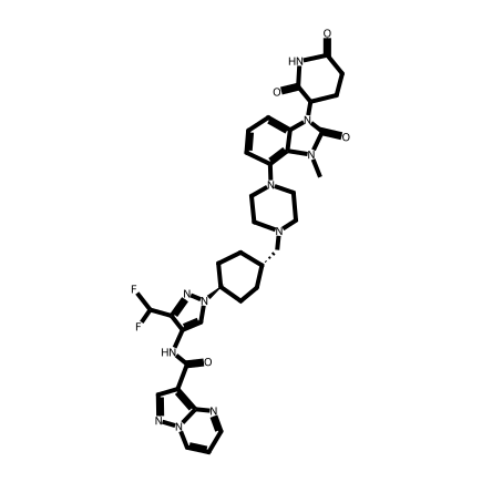 Cn1c(=O)n(C2CCC(=O)NC2=O)c2cccc(N3CCN(C[C@H]4CC[C@H](n5cc(NC(=O)c6cnn7cccnc67)c(C(F)F)n5)CC4)CC3)c21